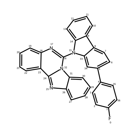 Fc1ccc(-c2ccc3c4ccccc4n(-c4nc5ccccc5c5nc6ccccc6n45)c3c2)cc1